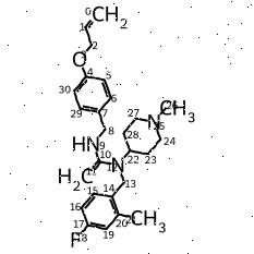 C=CCOc1ccc(CNC(=C)N(Cc2ccc(F)cc2C)C2CCN(C)CC2)cc1